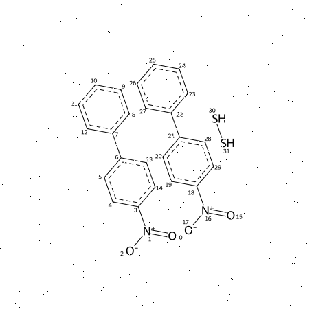 O=[N+]([O-])c1ccc(-c2ccccc2)cc1.O=[N+]([O-])c1ccc(-c2ccccc2)cc1.SS